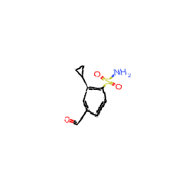 NS(=O)(=O)c1ccc(C=O)cc1C1CC1